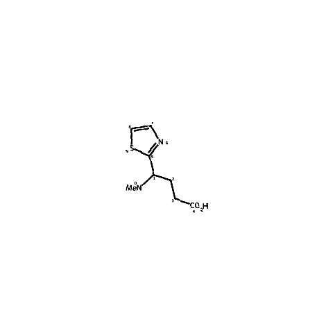 CNC(CCC(=O)O)c1nccs1